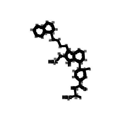 Cc1cc(C(=O)N[C@@H](C)C(=O)O)ccc1-c1cccc2c(CCCOc3cccc4ccccc34)c(OC(=O)O)[nH]c12